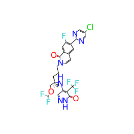 O=c1[nH]ncc(N[C@H](CCCn2ccc3cc(-c4ncc(Cl)cn4)c(F)cc3c2=O)COC(F)F)c1C(F)(F)F